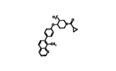 Cc1c(-c2ccc(OC3CCN(C(=O)C4CC4)CC3C)cc2)ccc2cccnc12